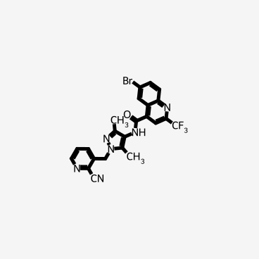 Cc1nn(Cc2cccnc2C#N)c(C)c1NC(=O)c1cc(C(F)(F)F)nc2ccc(Br)cc12